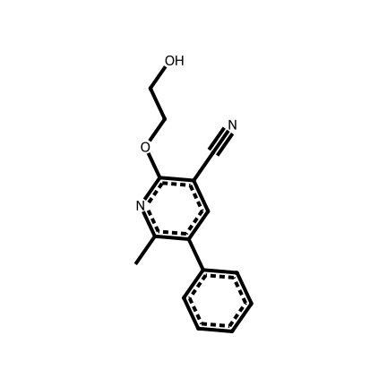 Cc1nc(OCCO)c(C#N)cc1-c1ccccc1